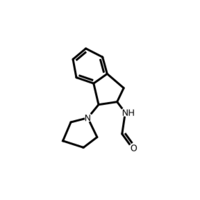 O=CNC1Cc2ccccc2C1N1CCCC1